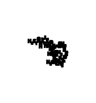 C=CC(=O)Nc1cccc(C(=O)Nc2cc3cc(c2)N/C(N=C)=N/C(=C(C)C)c2cccc(c2)OCC/C=C/CN(C)C3)c1